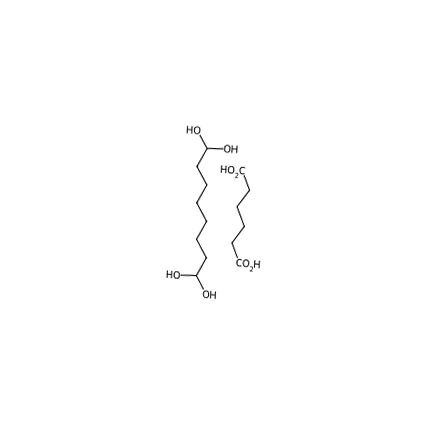 O=C(O)CCCCC(=O)O.OC(O)CCCCCCC(O)O